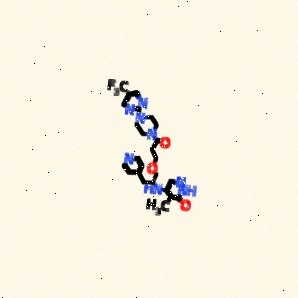 Cc1c(N[C@H](COCCC(=O)N2CCN(c3ncc(C(F)(F)F)cn3)CC2)Cc2ccncc2)cn[nH]c1=O